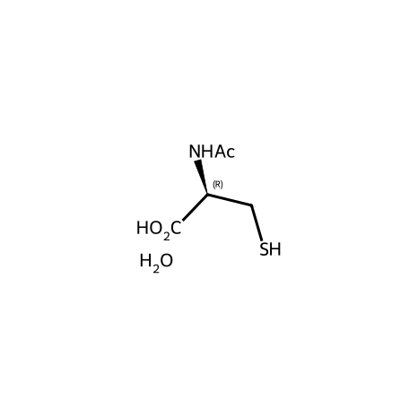 CC(=O)N[C@@H](CS)C(=O)O.O